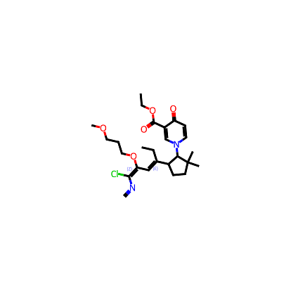 C=N/C(Cl)=C(\C=C(/CC)C1CCC(C)(C)C1n1ccc(=O)c(C(=O)OCC)c1)OCCCOC